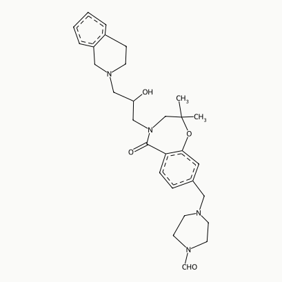 CC1(C)CN(CC(O)CN2CCc3ccccc3C2)C(=O)c2ccc(CN3CCN(C=O)CC3)cc2O1